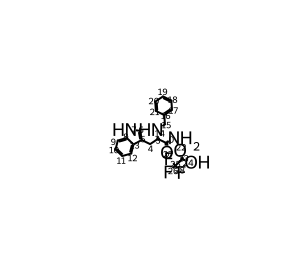 NC(=O)C(Cc1c[nH]c2ccccc12)NCc1ccccc1.O=C(O)C(F)(F)F